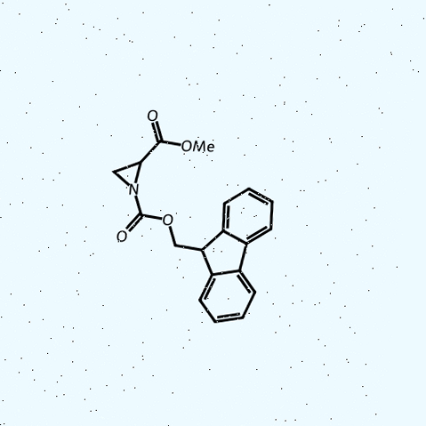 COC(=O)C1CN1C(=O)OCC1c2ccccc2-c2ccccc21